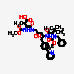 COC(=O)NC(C(=O)NCC(O)CC(Cc1ccc(-c2ccccn2)cc1)NC(=O)C(N(Cc1ccccc1)C(=O)OC)C(C)(C)C)C(C)C(=O)O